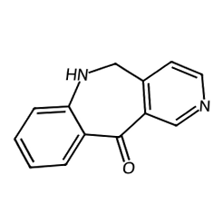 O=C1c2cnccc2CNc2ccccc21